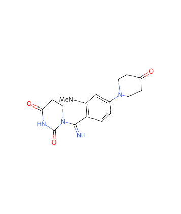 CNc1cc(N2CCC(=O)CC2)ccc1C(=N)N1CCC(=O)NC1=O